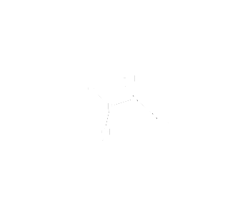 NNB(O)O.[KH]